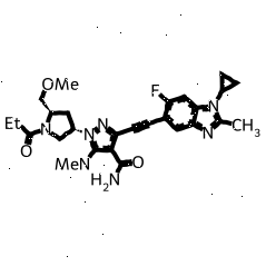 CCC(=O)N1C[C@@H](n2nc(C#Cc3cc4nc(C)n(C5CC5)c4cc3F)c(C(N)=O)c2NC)C[C@@H]1COC